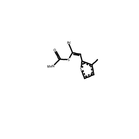 CNC(=O)S/C(=C\c1sccc1C)C(C)=O